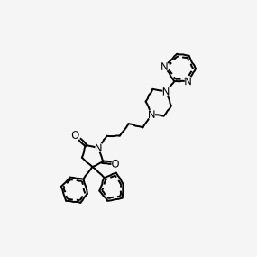 O=C1CC(c2ccccc2)(c2ccccc2)C(=O)N1CCCCN1CCN(c2ncccn2)CC1